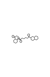 O=C(CCCCC(=O)N1CCC(=O)C2CCCCC21)C1CCC2CCCCC2C1